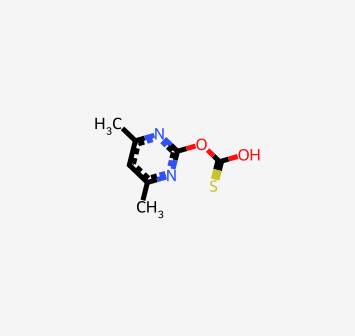 Cc1cc(C)nc(OC(O)=S)n1